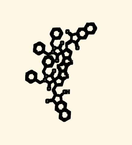 O=C1C(=CC2=Cc3sc4c(sc5c6c(sc54)C=C(/C=C4/C(=O)c5cc7ccccc7cc5C4O)C6(C(=O)OCc4ccccc4)C(=O)OCc4ccccc4)c3C2(C(=O)OCc2ccccc2)C(=O)OCc2ccccc2)C(=O)c2cc3ccccc3cc21